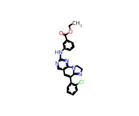 CCOC(=O)c1cccc(Nc2ncc3c(n2)N2CCN=C2C(c2ccccc2Cl)=C3)c1